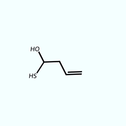 C=CCC(O)S